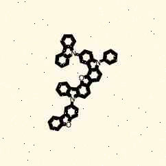 c1ccc(-n2c3ccc(-n4c5ccccc5c5ccccc54)cc3c3c4oc5c(ccc6c5c5ccccc5n6-c5ccc6oc7ccccc7c6c5)c4ccc32)cc1